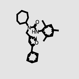 Cc1cc(C)c(NC(=O)N(Cc2cc(-c3ccccc3)on2)C2CCCCCC2)c(C)c1